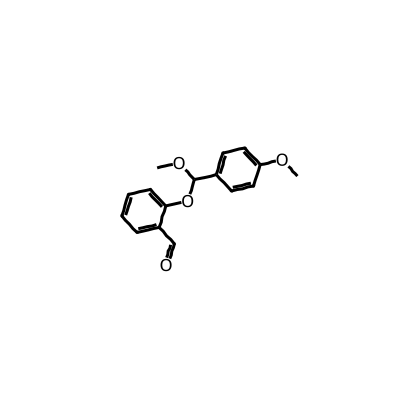 COc1ccc(C(OC)Oc2ccccc2C=O)cc1